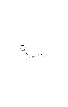 COc1ccc(C#CC(=O)C#Cc2ccccc2)cc1